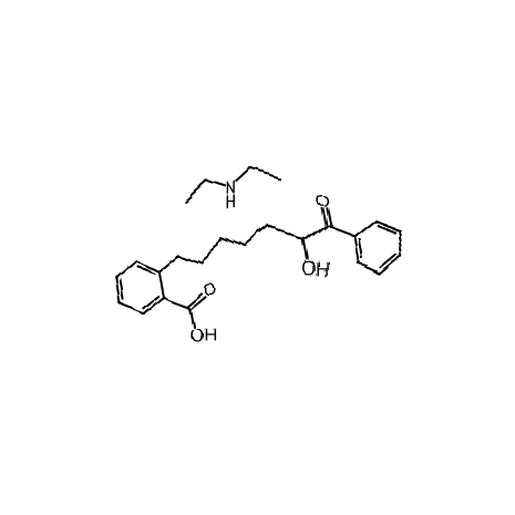 CCNCC.O=C(O)c1ccccc1CCCCCC(O)C(=O)c1ccccc1